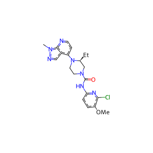 CC[C@H]1CN(C(=O)Nc2ccc(OC)c(Cl)n2)CCN1c1ccnc2c1cnn2C